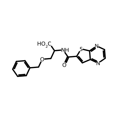 O=C(NC(COCc1ccccc1)C(=O)O)c1cc2nccnc2s1